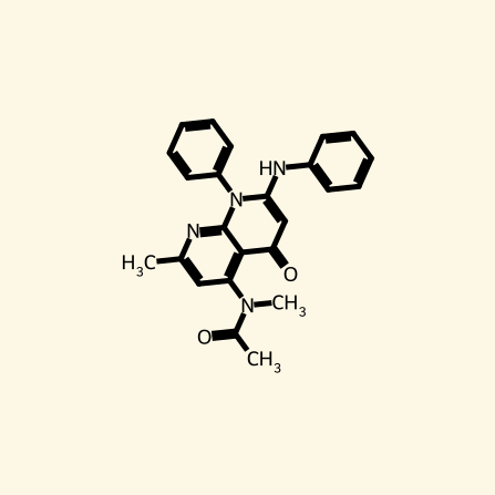 CC(=O)N(C)c1cc(C)nc2c1c(=O)cc(Nc1ccccc1)n2-c1ccccc1